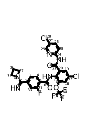 N=C(c1ccc(C(=O)Nc2c(OC(F)(F)F)cc(Cl)cc2C(=O)Nc2ccc(Cl)cn2)c(F)c1)N1CCC1